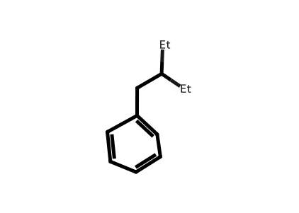 [CH2]CC(C[CH2])Cc1ccccc1